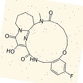 CN1C(=O)CCCCOc2cc(F)ccc2CNC(=O)c2nc3n(c(=O)c2O)CCCCC31